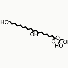 O=C(CCCCCCCC(O)CCCCCCCCCO)OC(CO)CO